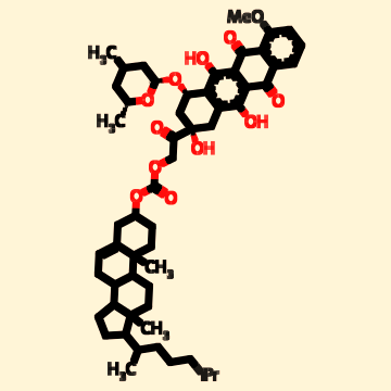 COc1cccc2c1C(=O)c1c(O)c3c(c(O)c1C2=O)C[C@](O)(C(=O)COC(=O)OC1CCC2(C)C(=CCC4C2CCC2(C)C(C(C)CCCC(C)C)CCC42)C1)C[C@H]3O[C@@H]1CC(C)C[C@@H](C)O1